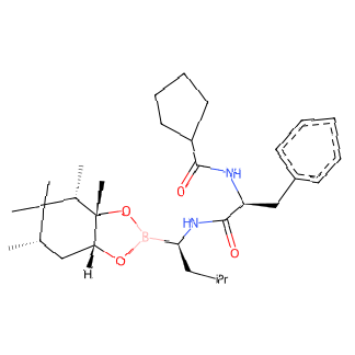 CC(C)C[C@H](NC(=O)[C@H](Cc1ccccc1)NC(=O)C1CCCC1)B1O[C@@H]2C[C@H](C)C(C)(C)[C@H](C)[C@]2(C)O1